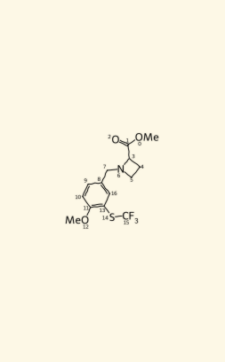 COC(=O)C1CCN1Cc1ccc(OC)c(SC(F)(F)F)c1